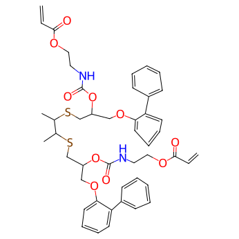 C=CC(=O)OCCNC(=O)OC(COc1ccccc1-c1ccccc1)CSC(C)C(C)SCC(COc1ccccc1-c1ccccc1)OC(=O)NCCOC(=O)C=C